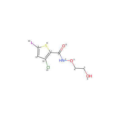 O=C(NOCCO)c1sc(I)cc1Cl